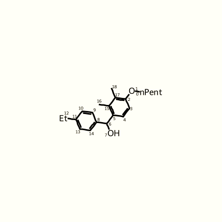 CCCCCOc1ccc(C(O)c2ccc(CC)cc2)c(C)c1C